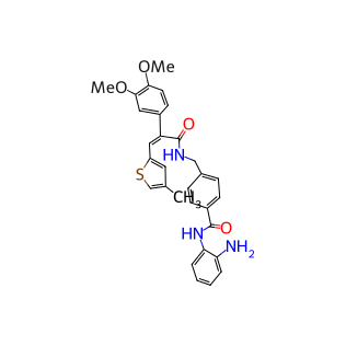 COc1ccc(C(=Cc2cc(C)cs2)C(=O)NCc2ccc(C(=O)Nc3ccccc3N)cc2)cc1OC